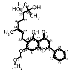 COCOc1cc2oc(-c3ccccc3)cc(=O)c2c(O)c1C/C=C(\C)CC[C@H](O)C(C)(C)O